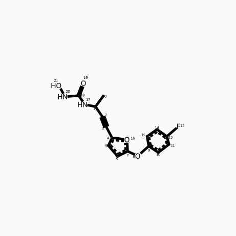 CC(C#Cc1ccc(Oc2ccc(F)cc2)o1)NC(=O)NO